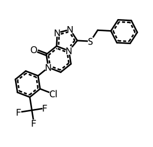 O=c1c2nnc(SCc3ccccc3)n2ccn1-c1cccc(C(F)(F)F)c1Cl